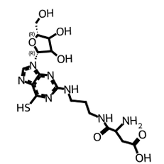 NC(CC(=O)O)C(=O)NCCCNc1nc(S)c2ncn([C@@H]3O[C@H](CO)C(O)C3O)c2n1